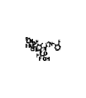 Cc1c(N(C)[C@H]2CCN(Cc3ccccc3F)C2)cnc(S(=O)(=O)Nc2cscn2)c1F.O=C(O)C(F)(F)F